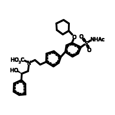 CC(=O)NS(=O)(=O)c1ccc(-c2ccc(CCN(C[C@@H](O)c3ccccc3)C(=O)O)cc2)cc1OC1CCCCC1